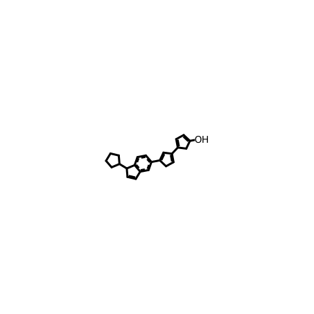 OC1=CC=C(C2=CCC(c3ccc4c(c3)C=CC4C3CCCC3)=C2)C1